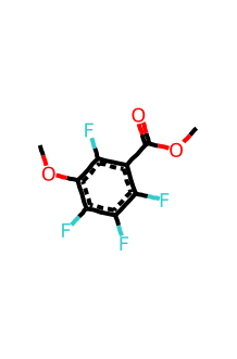 COC(=O)c1c(F)c(F)c(F)c(OC)c1F